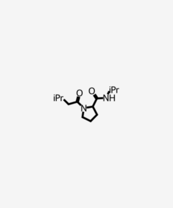 CC(C)CC(=O)N1CCCC1C(=O)NC(C)C